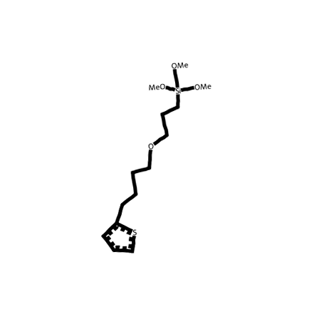 CO[Si](CCCOCCCCc1cccs1)(OC)OC